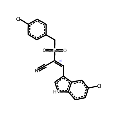 N#C/C(=C\c1c[nH]c2ccc(Cl)cc12)S(=O)(=O)Cc1ccc(Cl)cc1